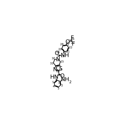 Nc1ccccc1NC(=O)c1nc2c(s1)CN(C(=O)Nc1ccc(OC(F)F)cc1)CC2